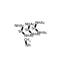 CC(=O)[NH][Sn][NH]C(C)=O.CC(=O)[NH][Sn][NH]C(C)=O.CC(=O)[NH][Sn][NH]C(C)=O.[CH2]CCC